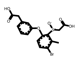 Cc1c(Br)ccc(Oc2cccc(CC(=O)O)c2)c1[S+]([O-])CC(=O)O